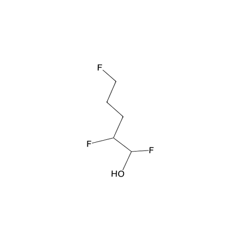 OC(F)C(F)CCCF